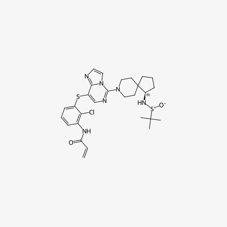 C=CC(=O)Nc1cccc(Sc2cnc(N3CCC4(CCC[C@H]4N[S+]([O-])C(C)(C)C)CC3)n3ccnc23)c1Cl